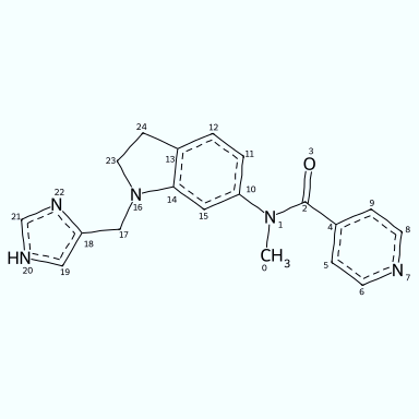 CN(C(=O)c1ccncc1)c1ccc2c(c1)N(Cc1c[nH]cn1)CC2